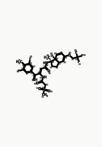 Cc1c(F)cc(C(=N)/C(=C/C(=O)N[C@]2(C)CCC3C=C(OCC(F)(F)F)C=C[C@H]32)NC(=O)CS(C)(=O)=O)cc1F